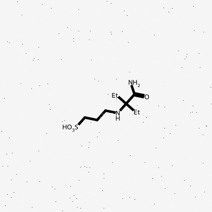 CCC(CC)(NCCCS(=O)(=O)O)C(N)=O